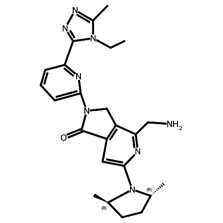 CCn1c(C)nnc1-c1cccc(N2Cc3c(cc(N4[C@H](C)CC[C@H]4C)nc3CN)C2=O)n1